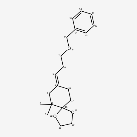 CC1(C)C/C(=C/CCOCc2ccccc2)CCC12OCCO2